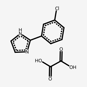 Clc1cccc(-c2ncc[nH]2)c1.O=C(O)C(=O)O